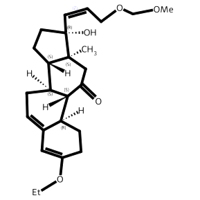 CCOC1=CC2=CC[C@@H]3[C@H](C(=O)C[C@@]4(C)[C@H]3CC[C@@]4(O)/C=C\COCOC)[C@H]2CC1